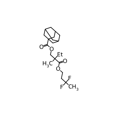 CCC(C)(COC(=O)C12CC3CC(CC(C3)C1)C2)C(=O)OCCC(C)(F)F